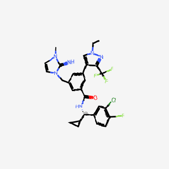 CCn1cc(-c2cc(Cn3ccn(C)c3=N)cc(C(=O)N[C@H](c3ccc(F)c(Cl)c3)C3CC3)c2)c(C(F)(F)F)n1